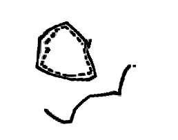 [CH2]CCCC.c1ccncc1